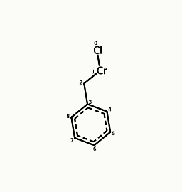 [Cl][Cr][CH2]c1ccccc1